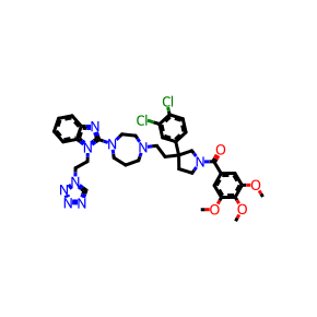 COc1cc(C(=O)N2CCC(CCN3CCCN(c4nc5ccccc5n4CCn4cnnn4)CC3)(c3ccc(Cl)c(Cl)c3)C2)cc(OC)c1OC